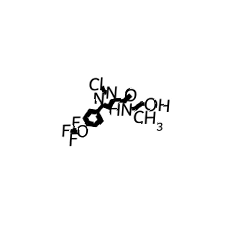 CC(CO)NC(=O)c1cc(-c2ccc(OC(F)(F)F)cc2)nc(Cl)n1